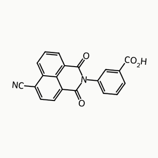 N#Cc1ccc2c3c(cccc13)C(=O)N(c1cccc(C(=O)O)c1)C2=O